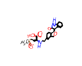 C[S+]([O-])CCC(NCCc1ccc2c(c1)CO/C2=C1/C(=O)Nc2ccccc21)C(=O)O